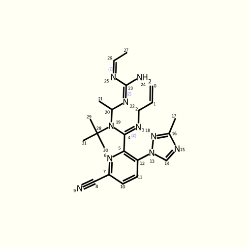 C=CC/N=C(/c1nc(C#N)ccc1-n1cnc(C)n1)N(C(C)/N=C(N)\N=C/C)C(C)(C)C